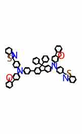 c1ccc(C2(c3ccccc3)c3cc(-c4ccc(N(c5ccc(-c6nc7ccccc7s6)cc5)c5ccc6c(c5)oc5ccccc56)cc4)ccc3-c3ccc(N(c4ccc(-c5nc6ccccc6s5)cc4)c4ccc5c(c4)oc4ccccc45)cc32)cc1